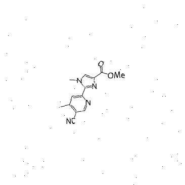 COC(=O)c1cn(C)c(-c2cc(C)c(C#N)cn2)n1